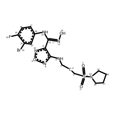 O=S(=O)(CCCNc1nonc1/C(=N/O)Nc1ccc(F)c(Br)c1)N1CCCC1